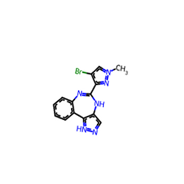 Cn1cc(Br)c(C2=Nc3ccccc3-c3[nH]ncc3N2)n1